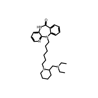 CCN(CC)CC1CCCCN1CCCCCCN1c2ccccc2C(=O)Nc2cccnc21